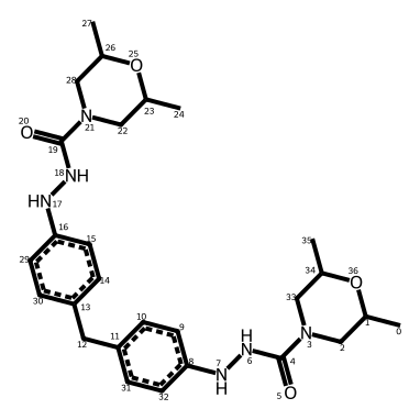 CC1CN(C(=O)NNc2ccc(Cc3ccc(NNC(=O)N4CC(C)OC(C)C4)cc3)cc2)CC(C)O1